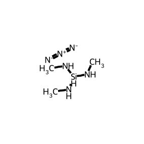 CN[SiH](NC)NC.[N-]=[N+]=[N-]